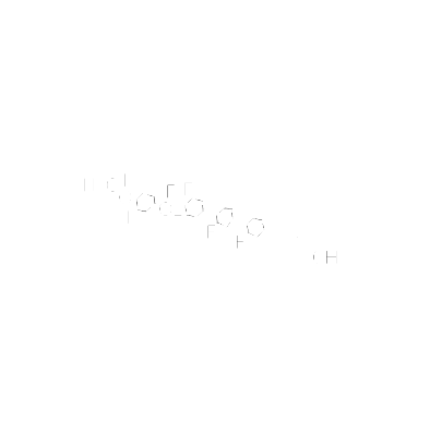 CCCC1CCC(c2ccc(-c3ccc(-c4cc(F)c(C(F)Oc5ccc(O[C@@H](C)F)c(F)c5)c(F)c4)c(F)c3)c(F)c2)CC1